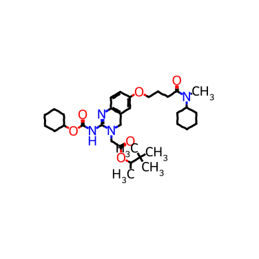 CC(OC(=O)CN1Cc2cc(OCCCC(=O)N(C)C3CCCCC3)ccc2N=C1NC(=O)OC1CCCCC1)C(C)(C)C